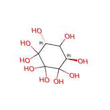 OC1[C@@H](O)C(O)(O)C(O)(O)C(O)(O)[C@@H]1O